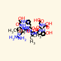 CC(C)C[C@H](NC(=O)[C@H](Cc1ccccc1)NC(=O)[C@H](CCCN=C(N)N)NC(=O)[C@H](CC(C)C)NC(=O)[C@@H](N)CO)C(=O)N[C@@H](Cc1ccc(O)cc1)C(=O)N[C@@H](CCC(=O)O)C(=O)NCC(=O)O